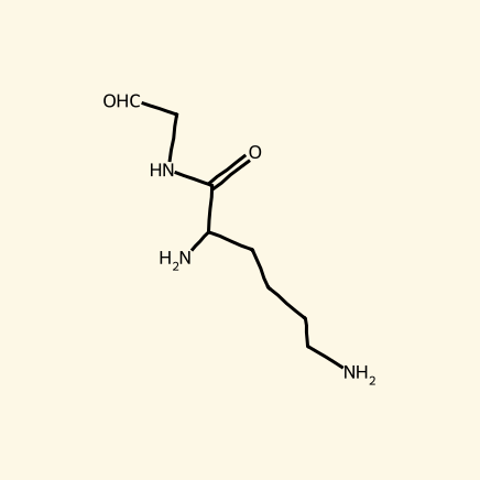 NCCCCC(N)C(=O)NCC=O